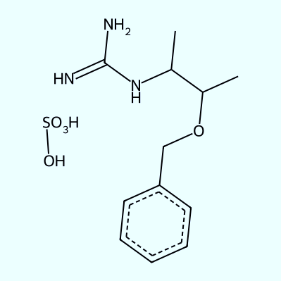 CC(NC(=N)N)C(C)OCc1ccccc1.O=S(=O)(O)O